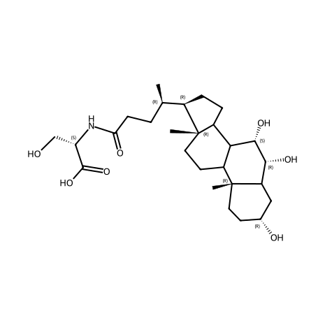 C[C@H](CCC(=O)N[C@@H](CO)C(=O)O)[C@H]1CCC2C3C(CC[C@@]21C)[C@@]1(C)CC[C@@H](O)CC1[C@@H](O)[C@H]3O